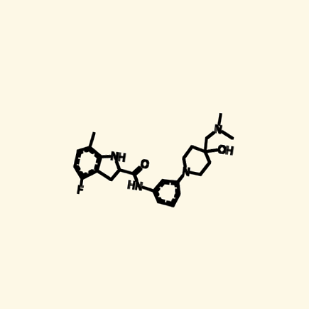 Cc1ccc(F)c2c1NC(C(=O)Nc1cccc(N3CCC(O)(CN(C)C)CC3)c1)C2